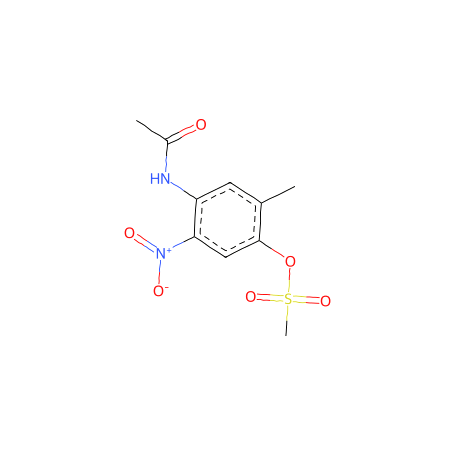 CC(=O)Nc1cc(C)c(OS(C)(=O)=O)cc1[N+](=O)[O-]